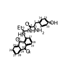 CCC(NC(=O)[C@H](N)Cc1ccc(O)cc1)Nc1cccc2c1C(=O)c1ccccc1C2=O